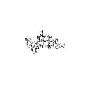 CC(C)(C)CC(=O)Nc1cncc(-c2ccc3[nH]nc(-c4cc5c(-c6ccc(F)cc6)cccc5[nH]4)c3c2)c1